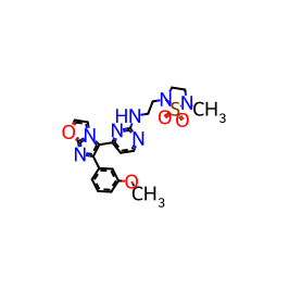 COc1cccc(-c2nc3occn3c2-c2ccnc(NCCN3CCN(C)S3(=O)=O)n2)c1